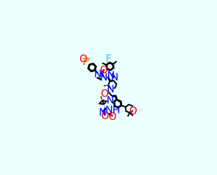 Cc1cc(-n2nc3c(c2-n2ccn(-c4ccc(P(C)(C)=O)cc4)c2=O)[C@H](C)N(C(=O)c2cc4cc(C5CCOC(C)(C)C5)ccc4n2C2[C@@]4(c5noc(=O)[nH]5)C[C@]24C)CC3)cc(C)c1F